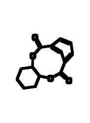 O=C1OC2CCCCC2OC(=O)c2cccc1c2